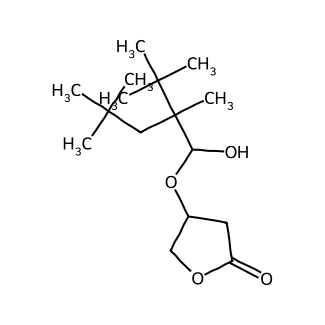 CC(C)(C)CC(C)(C(O)OC1COC(=O)C1)C(C)(C)C